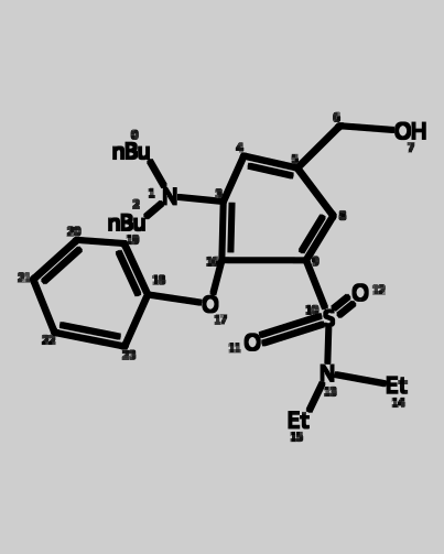 CCCCN(CCCC)c1cc(CO)cc(S(=O)(=O)N(CC)CC)c1Oc1ccccc1